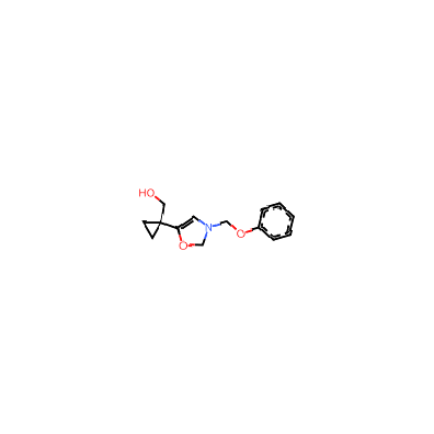 OCC1(C2=CN(COc3ccccc3)CO2)CC1